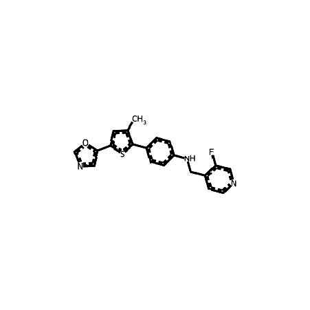 Cc1cc(-c2cnco2)sc1-c1ccc(NCc2ccncc2F)cc1